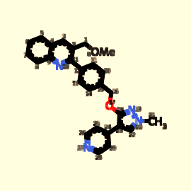 COCc1cc2ccccc2nc1-c1ccc(COc2nn(C)cc2-c2ccncc2)cc1